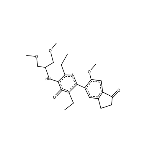 CCc1nc(-c2cc3c(cc2OC)C(=O)CC3)n(CC)c(=O)c1NC(COC)COC